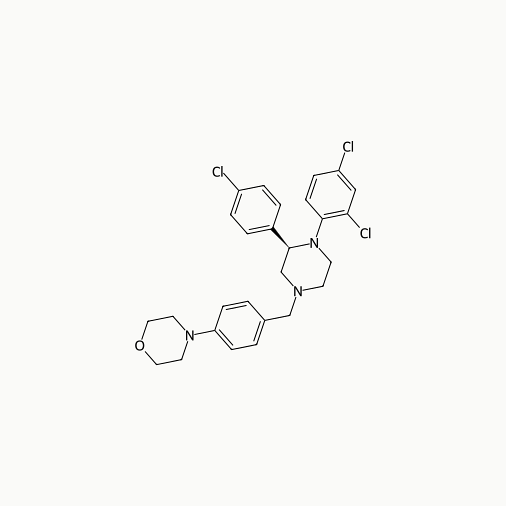 Clc1ccc([C@@H]2CN(Cc3ccc(N4CCOCC4)cc3)CCN2c2ccc(Cl)cc2Cl)cc1